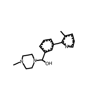 Cc1cccnc1-c1cccc(C(O)N2CCN(C)CC2)c1